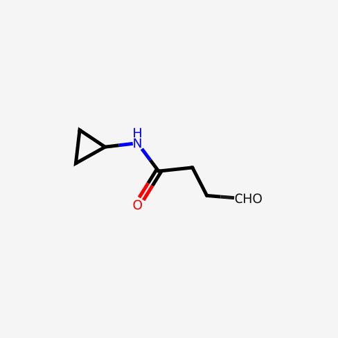 O=CCCC(=O)NC1CC1